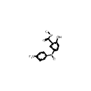 CCN(c1ccc(C(F)(F)F)cc1)c1ccc(O)c(C(=O)OCl)c1